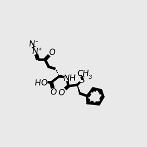 CS[C@@H](Cc1ccccc1)C(=O)N[C@@H](CCC(=O)C=[N+]=[N-])C(=O)O